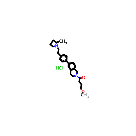 COCCCC(=O)N1CCc2cc(-c3ccc(CCN4CCCC4C)cc3)ccc2C1.Cl